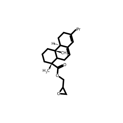 CC(C)C1=CC2=CCC3[C@](C)(C(=O)OCC4CO4)CCC[C@]3(C)[C@H]2CC1